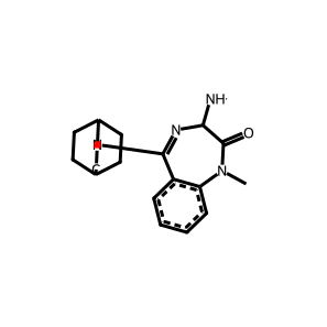 CN1C(=O)C([NH])N=C(N2CC3CCC(CC3)C2)c2ccccc21